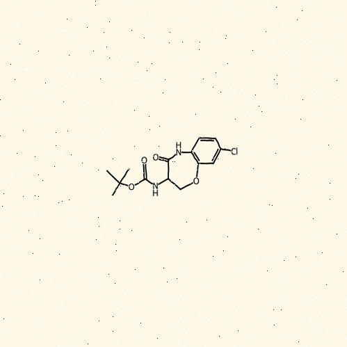 CC(C)(C)OC(=O)NC1COc2cc(Cl)ccc2NC1=O